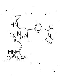 C=c1[nH]c(=O)[nH]/c1=C\c1cnn2c(NC3CC3)cc(-c3ccc(C(=O)N4CCC4)s3)nc12